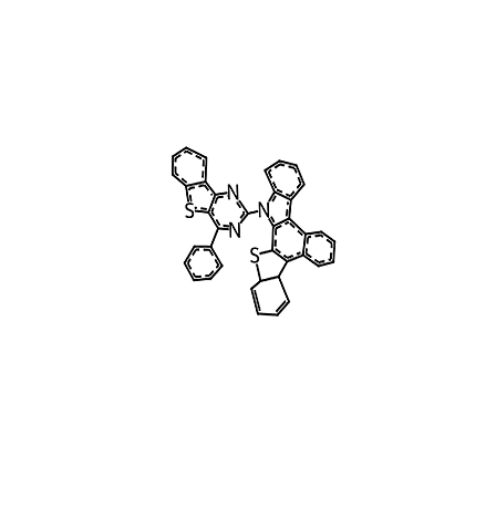 C1=CC2Sc3c(c4ccccc4c4c5ccccc5n(-c5nc(-c6ccccc6)c6sc7ccccc7c6n5)c34)C2C=C1